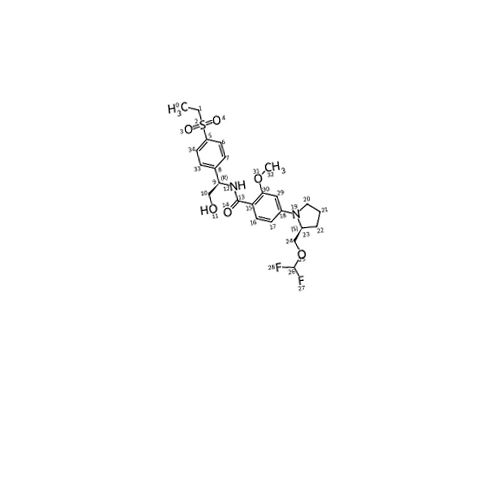 CCS(=O)(=O)c1ccc([C@H](CO)NC(=O)c2ccc(N3CCC[C@H]3COC(F)F)cc2OC)cc1